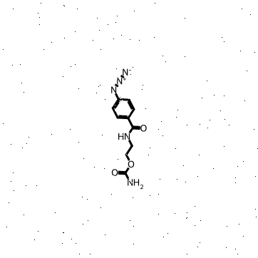 [N-]=[N+]=Nc1ccc(C(=O)NCCOC(N)=O)cc1